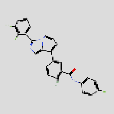 O=C(Nc1ccc(F)cc1)c1cc(-c2cccn3c(-c4cccc(F)c4F)ncc23)ccc1Cl